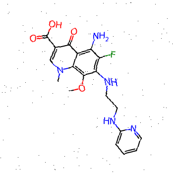 COc1c(NCCNc2ccccn2)c(F)c(N)c2c(=O)c(C(=O)O)cn(C)c12